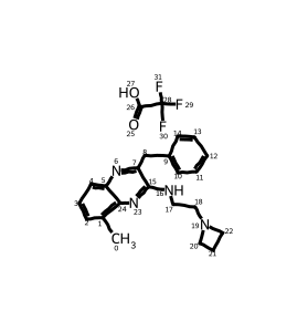 Cc1cccc2nc(Cc3ccccc3)c(NCCN3CCC3)nc12.O=C(O)C(F)(F)F